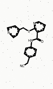 N#CCc1ccc(NC(=O)c2cccnc2SCc2ccncc2)cc1